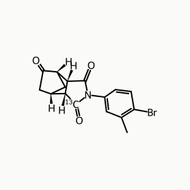 Cc1cc(N2C(=O)[C@@H]3[C@@H]([C@@H]4CC(=O)[C@H]3C4)[13C]2=O)ccc1Br